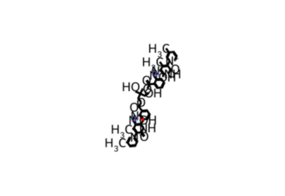 Cc1ccc[n+](-c2c(C)c(/N=N\c3ccccc3C(=O)OCC(CO)(CO)COC(=O)c3ccccc3/N=N\c3c(O)[nH]c(=O)c(-[n+]4cccc(C)c4)c3C)c(O)[nH]c2=O)c1